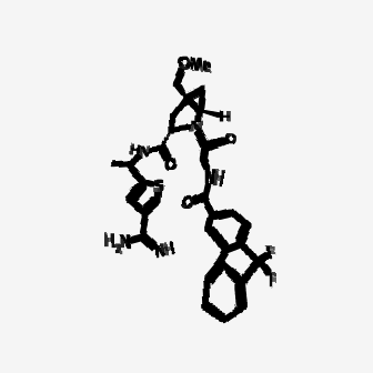 COC[C@@]12C[C@@H]1N(C(=O)CNC(=O)c1ccc3c(c1)-c1ccccc1C3(F)F)[C@H](C(=O)NC(C)c1cc(C(=N)N)cs1)C2